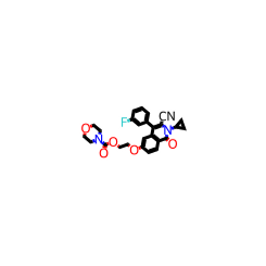 N#Cc1c(-c2cccc(F)c2)c2cc(OCCOC(=O)N3CCOCC3)ccc2c(=O)n1C1CC1